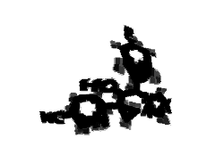 N#Cc1ccc(C2(C(O)C(c3ccc(F)cc3)n3cncn3)CC2)nc1